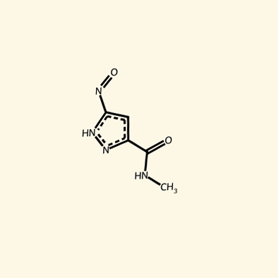 CNC(=O)c1cc(N=O)[nH]n1